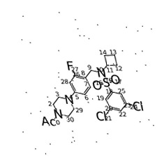 CC(=O)N1CCN(c2ccc(CN(C3CCC3)S(=O)(=O)c3cc(Cl)cc(Cl)c3)c(F)c2)CC1